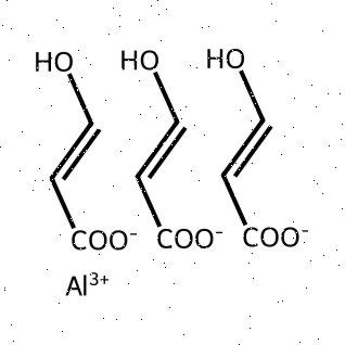 O=C([O-])C=CO.O=C([O-])C=CO.O=C([O-])C=CO.[Al+3]